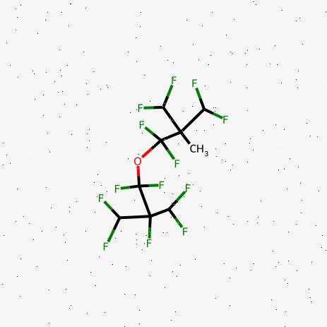 CC(C(F)F)(C(F)F)C(F)(F)OC(F)(F)C(F)(C(F)F)C(F)F